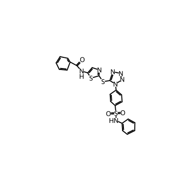 O=C(Nc1cnc(Sc2nnnn2-c2ccc(S(=O)(=O)Nc3ccccc3)cc2)s1)c1ccccc1